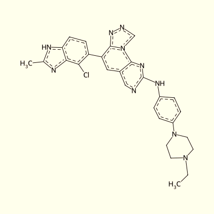 CCN1CCN(c2ccc(Nc3ncc4cc(-c5ccc6[nH]c(C)nc6c5Cl)c5nncn5c4n3)cc2)CC1